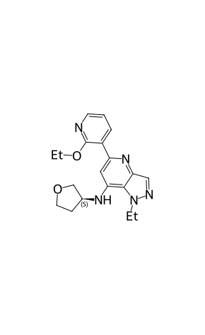 CCOc1ncccc1-c1cc(N[C@H]2CCOC2)c2c(cnn2CC)n1